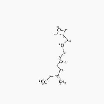 CCC(C)CCOCCOCC1COC1